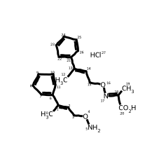 CC(=CCON)c1ccccc1.CC(=CCON=C(C)C(=O)O)c1ccccc1.Cl